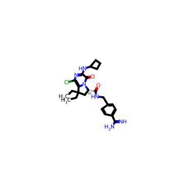 CCC1(CC)C[C@@H](C(=O)NCc2ccc(C(=N)N)cc2)n2c1c(Cl)nc(NC1CCC1)c2=O